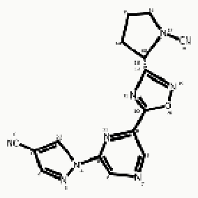 N#Cc1cnn(-c2cncc(-c3nc([C@@H]4CCCN4C#N)no3)n2)c1